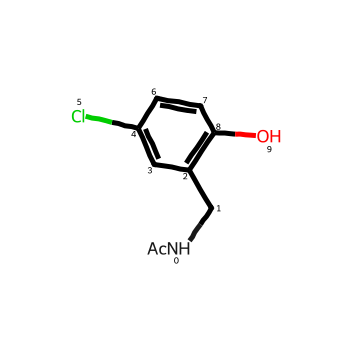 CC(=O)NCc1cc(Cl)ccc1O